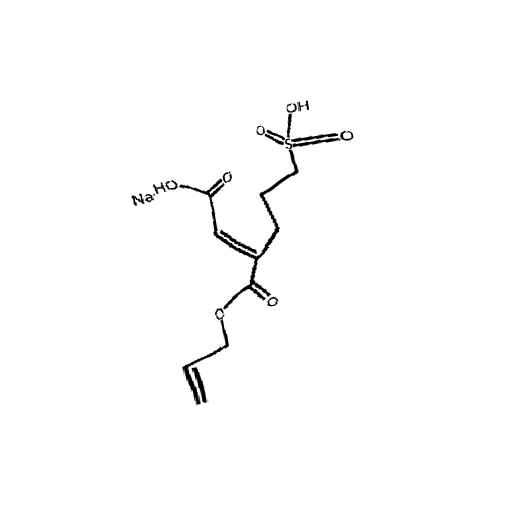 C=CCOC(=O)C(=CC(=O)O)CCCS(=O)(=O)O.[Na]